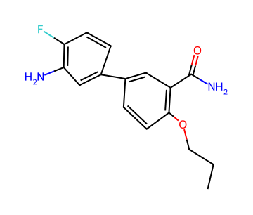 CCCOc1ccc(-c2ccc(F)c(N)c2)cc1C(N)=O